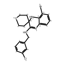 Clc1cccc(CNC2=Nc3cccc(Br)c3NC23CCOCC3)c1